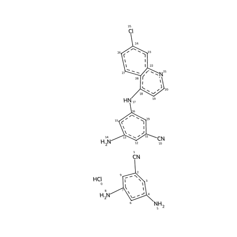 Cl.N#Cc1cc(N)cc(N)c1.N#Cc1cc(N)cc(Nc2ccnc3cc(Cl)ccc23)c1